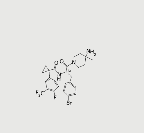 CC1(N)CCN(C(=O)[C@H](Cc2ccc(Br)cc2)NC(=O)C2(c3ccc(F)c(C(F)(F)F)c3)CC2)CC1